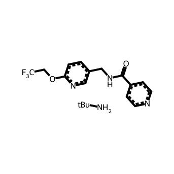 CC(C)(C)N.O=C(NCc1ccc(OCC(F)(F)F)nc1)c1ccncc1